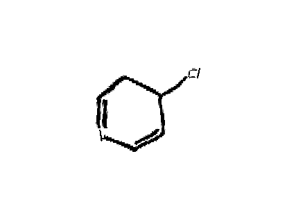 ClC1C=CI=CC1